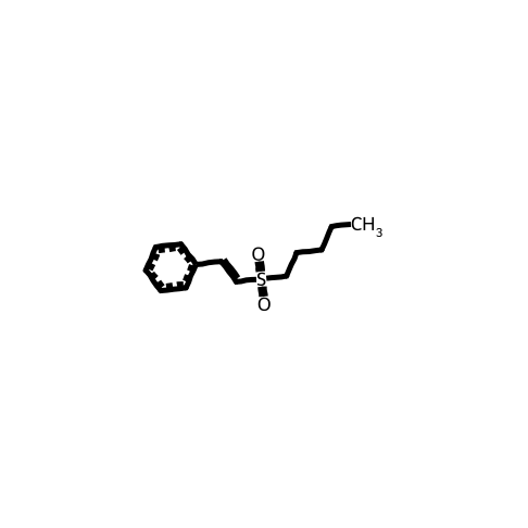 CCCCCS(=O)(=O)C=Cc1ccccc1